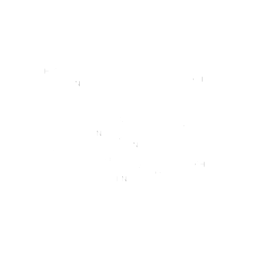 CCc1cc(N(C(N)=O)S(=O)(=O)N(C2CCOC2)C2CCCN(C)C2)c(CC)s1